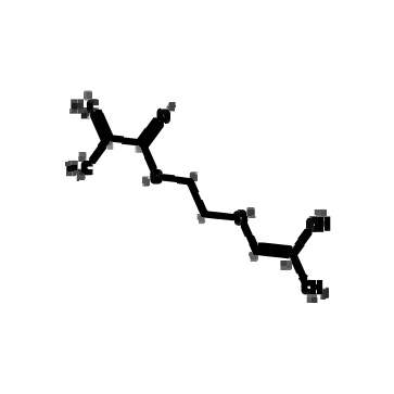 C=C(C)C(=O)OCCOC=C(C)O